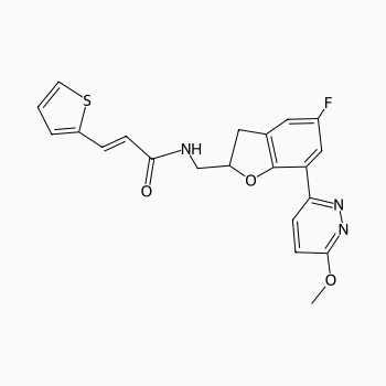 COc1ccc(-c2cc(F)cc3c2OC(CNC(=O)C=Cc2cccs2)C3)nn1